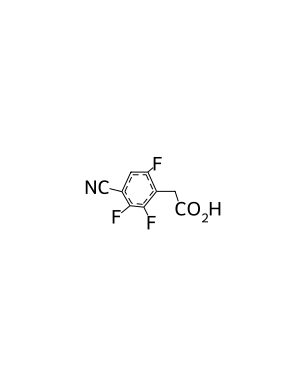 N#Cc1cc(F)c(CC(=O)O)c(F)c1F